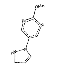 COc1ncc(N2C=CCN2)cn1